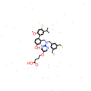 COc1cc(F)c(C(C)C)cc1-c1ccc(O)cc1CN(Cc1cc(CF)cc(CF)c1)c1ncc(OCCCC(=O)O)cn1